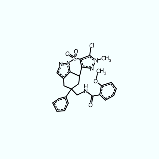 COc1ccccc1C(=O)NCC1(c2ccccc2)Cc2cnn3c2C(C1)c1nn(C)c(Cl)c1S3(=O)=O